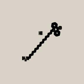 I.NCCCCCCCCCCCCCCCCCCOc1ccccc1C(=O)c1ccccc1